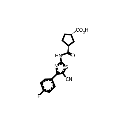 N#Cc1sc(NC(=O)[C@H]2CC[C@H](C(=O)O)C2)nc1-c1ccc(F)cc1